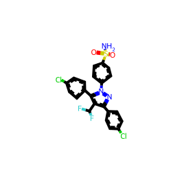 NS(=O)(=O)c1ccc(-n2nc(-c3ccc(Cl)cc3)c(C(F)F)c2-c2ccc(Cl)cc2)cc1